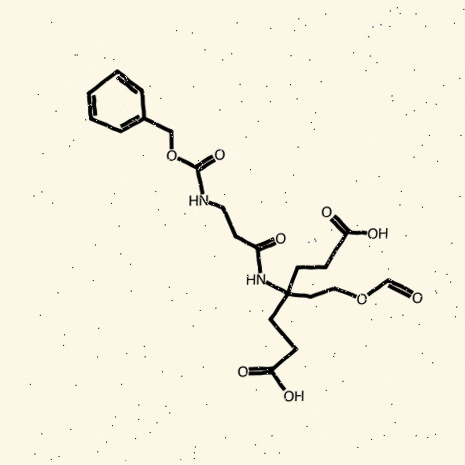 O=COCCC(CCC(=O)O)(CCC(=O)O)NC(=O)CCNC(=O)OCc1ccccc1